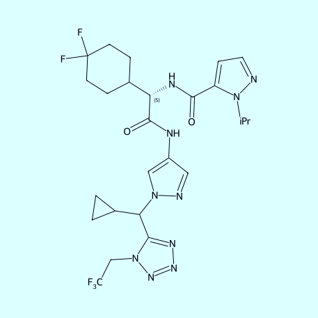 CC(C)n1nccc1C(=O)N[C@H](C(=O)Nc1cnn(C(c2nnnn2CC(F)(F)F)C2CC2)c1)C1CCC(F)(F)CC1